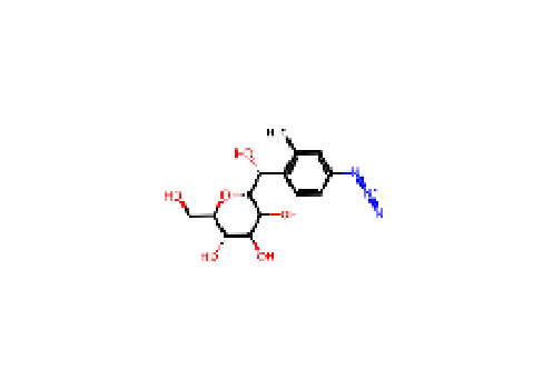 Cc1cc(N=[N+]=[N-])ccc1[C@@H](O)[C@H]1OC(CO)[C@@H](O)[C@H](O)C1O